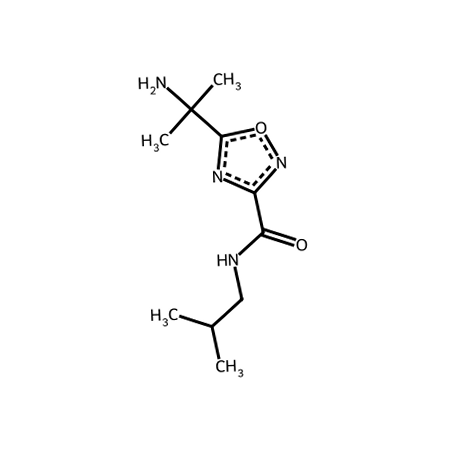 CC(C)CNC(=O)c1noc(C(C)(C)N)n1